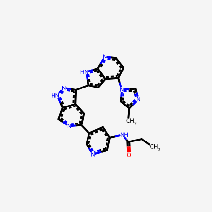 CCC(=O)Nc1cncc(-c2cc3c(-c4cc5c(-n6cnc(C)c6)ccnc5[nH]4)n[nH]c3cn2)c1